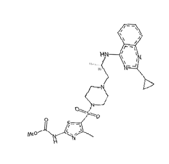 COC(=O)Nc1nc(C)c(S(=O)(=O)N2CCN(C[C@H](C)Nc3nc(C4CC4)nc4ccccc34)CC2)s1